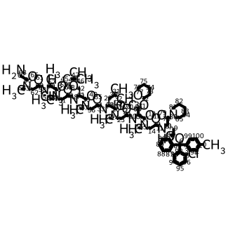 Cc1ccc(C(OC(=O)C[C@H](NC(=O)CN(C)C(=O)[C@@H](NC(=O)CN(C)C(=O)[C@H](CC(C)C)NC(=O)CN(C)C(=O)[C@H](COC(C)(C)C)NC(=O)CN(C)C(=O)[C@H](C)N(C)C(=O)CN(C)C(=O)CN)[C@@H](C)OC2CCCCO2)C(=O)N2CCCCC2)(c2ccccc2)c2ccccc2Cl)cc1